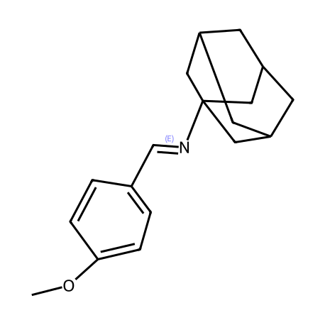 COc1ccc(/C=N/C23CC4CC(CC(C4)C2)C3)cc1